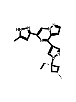 CC[C@]1(n2cc(-c3nc(-c4cc(C)[nH]n4)cn4nccc34)cn2)C[C@H](C)C1